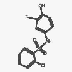 O=S(=O)(Nc1ccc(O)c(F)c1)c1ccccc1Cl